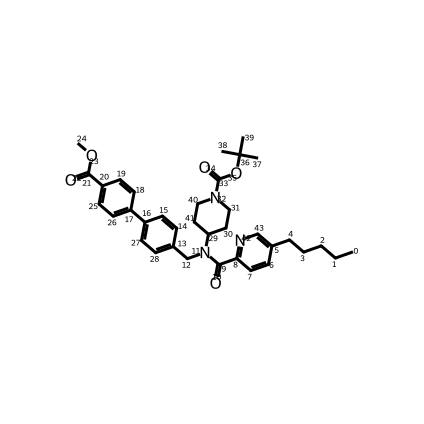 CCCCCc1ccc(C(=O)N(Cc2ccc(-c3ccc(C(=O)OC)cc3)cc2)C2CCN(C(=O)OC(C)(C)C)CC2)nc1